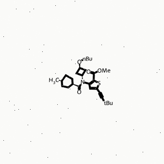 CCCCO[C@H]1C[C@H](N(c2cc(C#CC(C)(C)C)sc2C(=O)OC)C(=O)[C@H]2CC[C@H](C)CC2)C1